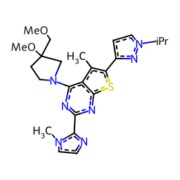 COCC1(OC)CCN(c2nc(-c3nccn3C)nc3sc(-c4ccn(C(C)C)n4)c(C)c23)C1